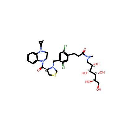 CN(C[C@H](O)[C@@H](O)[C@H](O)[C@H](O)CO)C(=O)CCc1cc(Cl)c(CN2CSC[C@H]2C(=O)N2CCN(C3CC3)c3ccccc32)cc1Cl